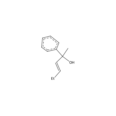 CCC=CC(C)(O)c1ccccc1